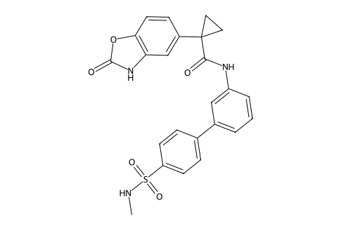 CNS(=O)(=O)c1ccc(-c2cccc(NC(=O)C3(c4ccc5oc(=O)[nH]c5c4)CC3)c2)cc1